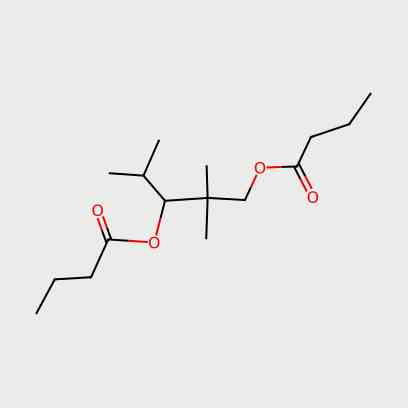 CCCC(=O)OCC(C)(C)C(OC(=O)CCC)C(C)C